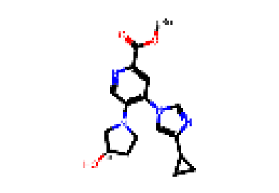 CCCCOC(=O)c1cc(-n2cnc(C3CC3)c2)c(N2CC[C@@H](O)C2)cn1